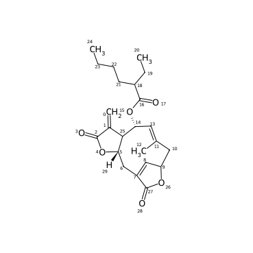 C=C1C(=O)O[C@H]2CC3=CC(C/C(C)=C/[C@@H](OC(=O)C(CC)CCCC)C12)OC3=O